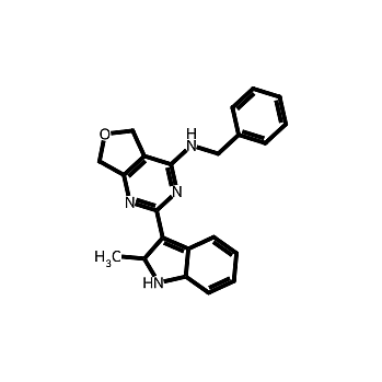 CC1NC2C=CC=CC2=C1c1nc2c(c(NCc3ccccc3)n1)COC2